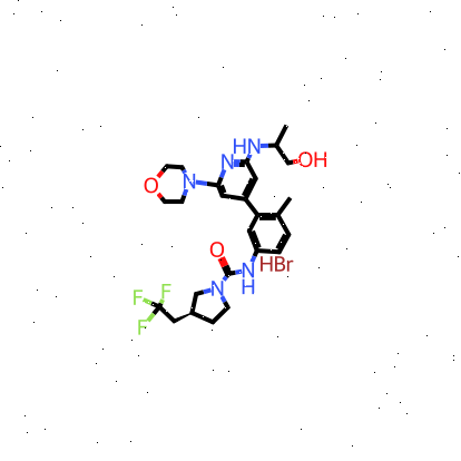 Br.Cc1ccc(NC(=O)N2CC[C@@H](CC(F)(F)F)C2)cc1-c1cc(NC(C)CO)nc(N2CCOCC2)c1